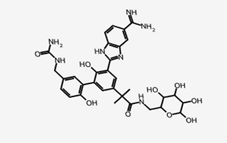 CC(C)(C(=O)NCC1OC(O)C(O)C(O)C1O)c1cc(-c2nc3cc(C(=N)N)ccc3[nH]2)c(O)c(-c2cc(CNC(N)=O)ccc2O)c1